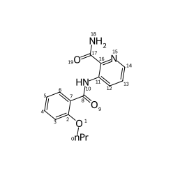 CCCOc1ccccc1C(=O)Nc1cccnc1C(N)=O